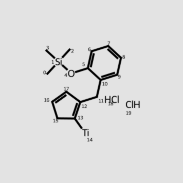 C[Si](C)(C)Oc1ccccc1CC1=[C]([Ti])CC=C1.Cl.Cl